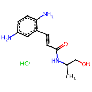 CC(CO)NC(=O)C=Cc1cc(N)ccc1N.Cl